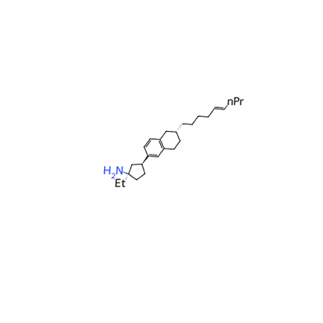 CCC/C=C/CCCC[C@@H]1CCc2cc([C@H]3CC[C@](N)(CC)C3)ccc2C1